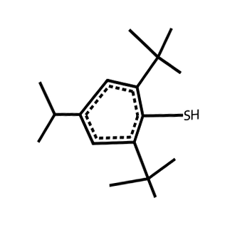 CC(C)c1cc(C(C)(C)C)c(S)c(C(C)(C)C)c1